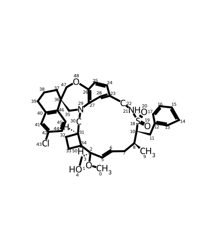 CO[C@]1(CO)/C=C/C[C@H](C)[C@H](Cc2ccccc2)S(=O)(=O)NCc2ccc3c(c2)N(C[C@@H]2CC[C@H]21)C[C@@]1(CCCc2cc(Cl)ccc21)CO3